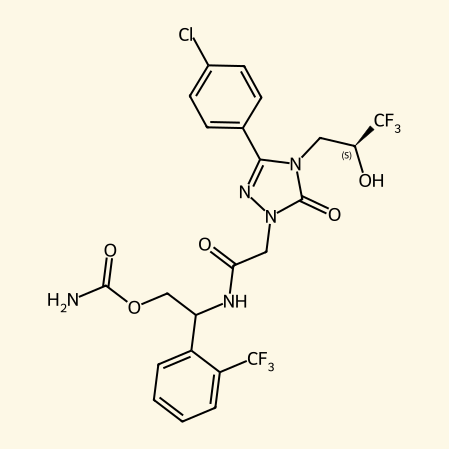 NC(=O)OCC(NC(=O)Cn1nc(-c2ccc(Cl)cc2)n(C[C@H](O)C(F)(F)F)c1=O)c1ccccc1C(F)(F)F